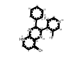 O=c1cc[nH]c2nc(-c3ccccc3)c(-c3c(F)cncc3F)nc12